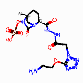 NCCOc1nnnn1CC(=O)NNC(=O)[C@@H]1CC[C@@H]2CN1C(=O)N2OS(=O)(=O)O